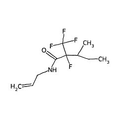 C=CCNC(=O)C(F)(C(C)CC)C(F)(F)F